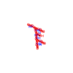 COCCOCCOCC(=O)NCCOCCOCC(COCCOCCNC(=O)COCCOCCOC)OCC(=O)NCCOCCOCC(COCCOCCNC(=O)COC(COCCOCCNC(=O)COCCOCCOC)COCCOCCNC(=O)COCCOCCOC)OCC(=O)NCCC(=O)O